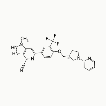 CN1NNc2c1cc(-c1ccc(OC[C@H]3CCN(c4ccccn4)C3)c(C(F)(F)F)c1)nc2C#N